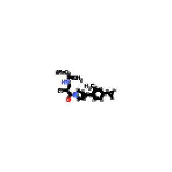 C=C(NCC(CC)C(=O)N1CC2C(C1)C2c1ccc(C2CC2)cc1C)OC